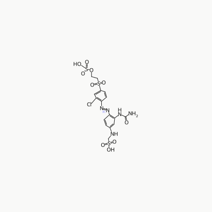 NC(=O)Nc1cc(NCS(=O)(=O)O)ccc1/N=N/c1ccc(S(=O)(=O)CCOS(=O)(=O)O)cc1Cl